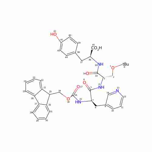 CC(C)(C)OC[C@H](NC(=O)[C@@H](Cc1cccnc1)NC(=O)OCC1c2ccccc2-c2ccccc21)C(=O)N[C@@H](Cc1ccc(O)cc1)C(=O)O